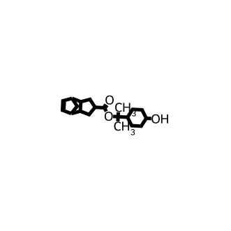 CC(C)(OC(=O)C1CC2C3C=CC(C3)C2C1)C1CCC(O)CC1